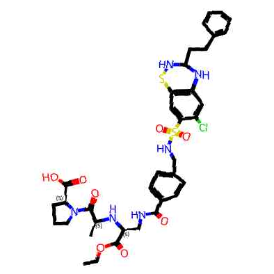 CCOC(=O)[C@H](CNC(=O)c1ccc(CNS(=O)(=O)c2cc3c(cc2Cl)NC(CCc2ccccc2)NS3)cc1)N[C@@H](C)C(=O)N1CCC[C@H]1C(=O)O